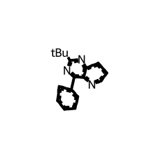 CC(C)(C)c1nc(-c2ccccc2)c2ncccc2n1